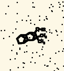 CCOC1C2CC(C3C4CCC(C4)C23)C1(C)C